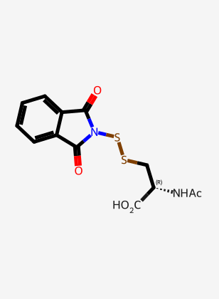 CC(=O)N[C@@H](CSSN1C(=O)c2ccccc2C1=O)C(=O)O